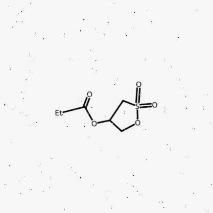 CCC(=O)OC1COS(=O)(=O)C1